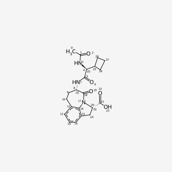 CC(=O)N[C@H](C(=O)N[C@H]1CCc2cccc3c2N(C1=O)[C@H](C(=O)O)C3)C1CCC1